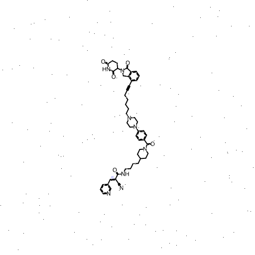 N#C/C(=C\c1cccnc1)C(=O)NCCCCC1CCN(C(=O)c2ccc(N3CCN(CCCCCC#Cc4cccc5c4CN(C4CCC(=O)NC4=O)C5=O)CC3)cc2)CC1